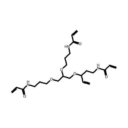 C=CC(=O)NCCCOCC(COC(C=C)CCNC(=O)C=C)OCCCNC(=O)C=C